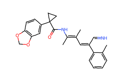 CC(/C=C(\C=N)c1ccccc1C)=C(/C)NC(=O)C1(c2ccc3c(c2)OCO3)CC1